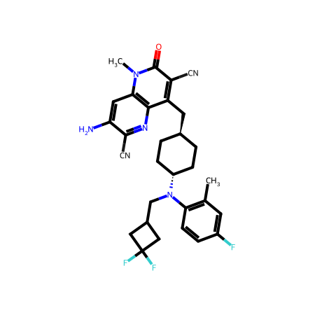 Cc1cc(F)ccc1N(CC1CC(F)(F)C1)[C@H]1CC[C@H](Cc2c(C#N)c(=O)n(C)c3cc(N)c(C#N)nc23)CC1